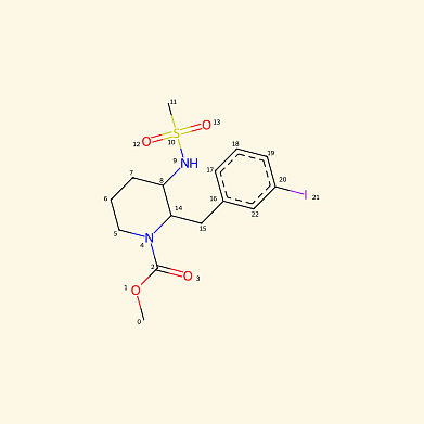 COC(=O)N1CCCC(NS(C)(=O)=O)C1Cc1cccc(I)c1